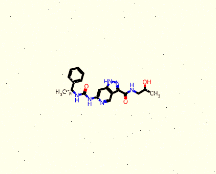 CC(O)CNC(=O)c1n[nH]c2cc(NC(=O)N[C@H](C)c3ccccc3)ncc12